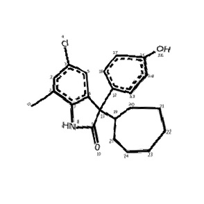 Cc1cc(Cl)cc2c1NC(=O)C2(c1ccc(O)cc1)C1CCCCCC1